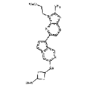 CNC1CC(Nc2ncc3c(-c4ccc5nc(C)n(CCOC)c5n4)ccn3n2)C1